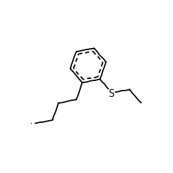 [CH2]CCCc1ccccc1SCC